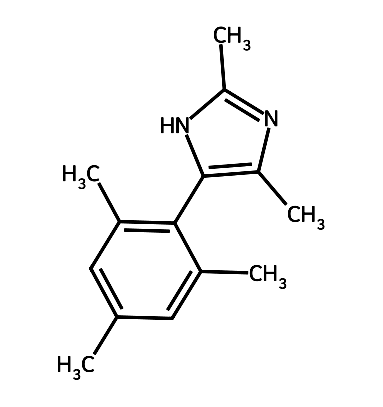 Cc1cc(C)c(-c2[nH]c(C)nc2C)c(C)c1